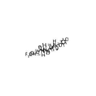 O=C(COc1ccc(Cl)cc1)NC12CC(C(=O)NNC(=O)C3CC(COC(F)(F)F)C3)(C1)C2